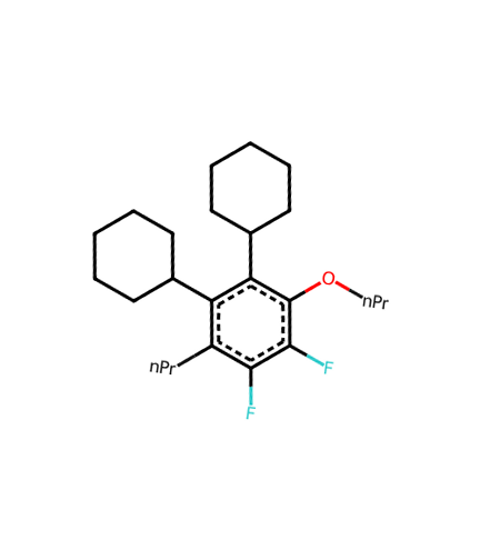 CCCOc1c(F)c(F)c(CCC)c(C2CCCCC2)c1C1CCCCC1